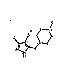 Cc1n[nH]c(CN2CCN(C)CC2)c1Cl